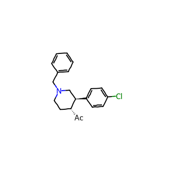 CC(=O)[C@@H]1CCN(Cc2ccccc2)C[C@H]1c1ccc(Cl)cc1